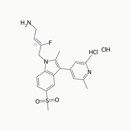 Cc1cc(-c2c(C)n(C/C(F)=C/CN)c3ccc(S(C)(=O)=O)cc23)cc(C)n1.Cl.Cl